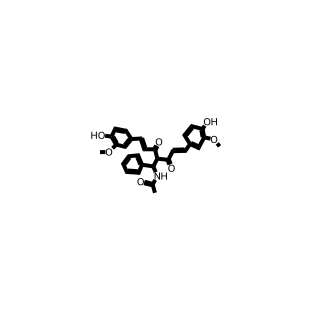 COc1cc(C=CC(=O)C(C(=O)C=Cc2ccc(O)c(OC)c2)C(NC(C)=O)c2ccccc2)ccc1O